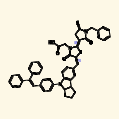 O=C(O)Cn1c(=O)/c(=C\c2ccc3c(c2)C2CCCC2N3c2ccc(C=C(c3ccccc3)c3ccccc3)cc2)s/c1=C1/CC(=S)N(Cc2ccccc2)C1=O